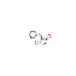 Cc1ccc(SN2C(=O)C=CC2=O)cc1